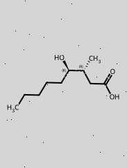 CCCCC[C@@H](O)[C@H](C)CC(=O)O